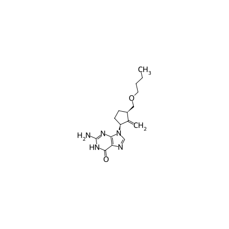 C=C1[C@H](COCCCC)CC[C@@H]1n1cnc2c(=O)[nH]c(N)nc21